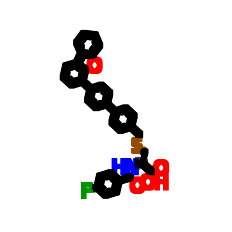 O=C(N[C@@H](CSCc1ccc(-c2ccc(-c3cccc4c3oc3ccccc34)cc2)cc1)C(=O)O)c1ccc(F)cc1